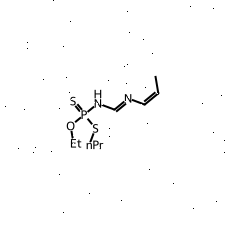 C/C=C\N=C\NP(=S)(OCC)SCCC